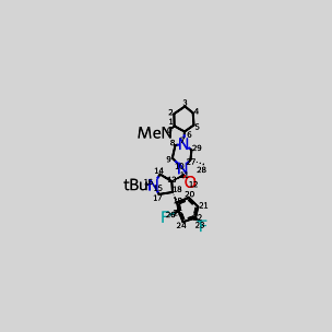 CN[C@H]1CCCCC1N1CCN(C(=O)[C@@H]2CN(C(C)(C)C)C[C@H]2c2ccc(F)cc2F)[C@@H](C)C1